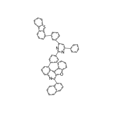 c1ccc(-c2cc(-c3cccc(-c4cccc5c4sc4ccccc45)c3)nc(-c3ccc(-c4cccc5nc(-c6cccc7ccccc67)c6oc7ccccc7c6c45)cc3)n2)cc1